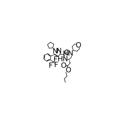 CCCCOC(=O)C[C@H](CNC1CCOCC1)NC(=O)c1cc(-c2ccccc2C(F)(F)F)n(C2CCCC2)n1